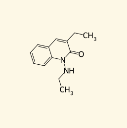 CCNn1c(=O)c(CC)cc2ccccc21